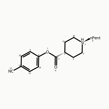 CCCCC[Si@H]1CC[C@H](C(=O)Oc2ccc(C#N)cc2)CC1